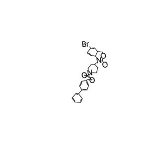 O=C1OCC2C=C(Br)C=CC2N1C1CCN(S(=O)(=O)c2ccc(-c3ccccc3)cc2)CC1